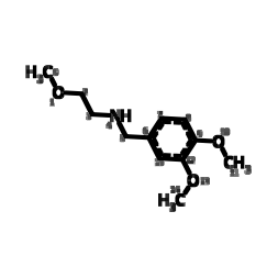 COCCNCc1ccc(OC)c(OC)c1